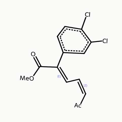 COC(=O)/C(=C/C=C\C(C)=O)c1ccc(Cl)c(Cl)c1